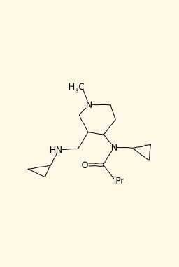 CC(C)C(=O)N(C1CC1)C1CCN(C)CC1CNC1CC1